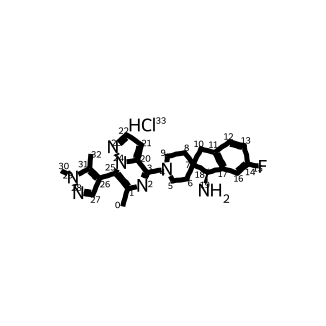 Cc1nc(N2CCC3(CC2)Cc2ccc(F)cc2[C@H]3N)c2ccnn2c1-c1cnn(C)c1C.Cl